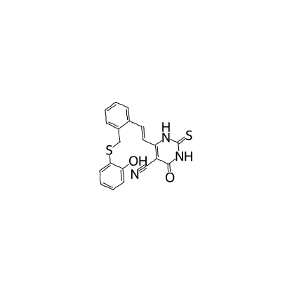 N#Cc1c(/C=C/c2ccccc2CSc2ccccc2O)[nH]c(=S)[nH]c1=O